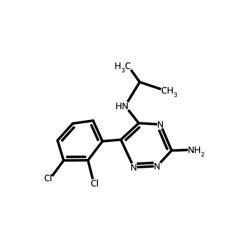 CC(C)Nc1nc(N)nnc1-c1cccc(Cl)c1Cl